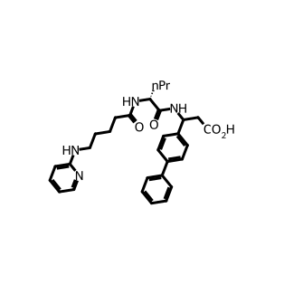 CCC[C@@H](NC(=O)CCCCNc1ccccn1)C(=O)NC(CC(=O)O)c1ccc(-c2ccccc2)cc1